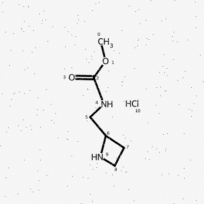 COC(=O)NCC1CCN1.Cl